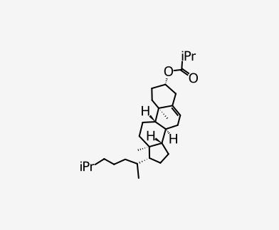 CC(C)CCCC(C)[C@H]1CC[C@H]2[C@@H]3CC=C4C[C@@H](OC(=O)C(C)C)CC[C@]4(C)[C@H]3CC[C@]12C